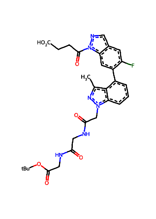 Cc1nn(CC(=O)NCC(=O)NCC(=O)OC(C)(C)C)c2cccc(-c3cc4c(cnn4C(=O)CCC(=O)O)cc3F)c12